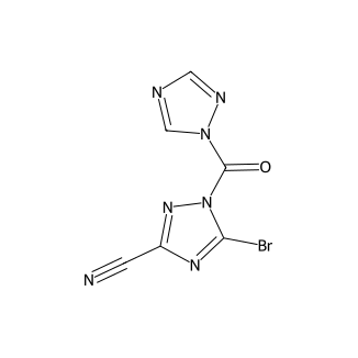 N#Cc1nc(Br)n(C(=O)n2cncn2)n1